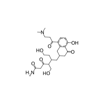 CN(C)CCC(=O)c1ccc(O)c2c1CC(CC(CCO)C(CO)C(=O)CC(N)=O)CC2=O